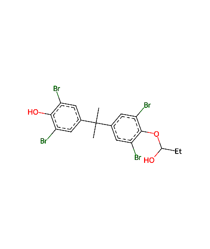 CCC(O)Oc1c(Br)cc(C(C)(C)c2cc(Br)c(O)c(Br)c2)cc1Br